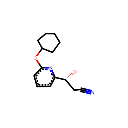 N#CC[C@@H](O)c1cccc(OC2CCCCC2)n1